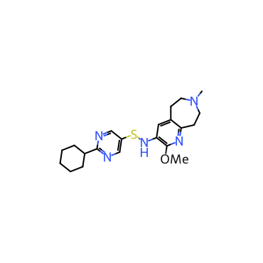 COc1nc2c(cc1NSc1cnc(C3CCCCC3)nc1)CCN(C)CC2